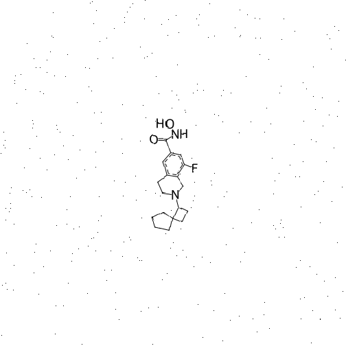 O=C(NO)c1cc(F)c2c(c1)CCN(C1CCC13CCCC3)C2